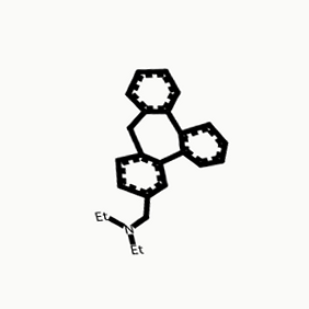 CCN(CC)Cc1ccc2c(c1)-c1ccccc1-c1ccccc1C2